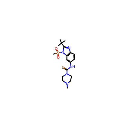 CN1CCN(C(=S)Nc2ccc3nc(C(C)(C)C)n(S(C)(=O)=O)c3c2)CC1